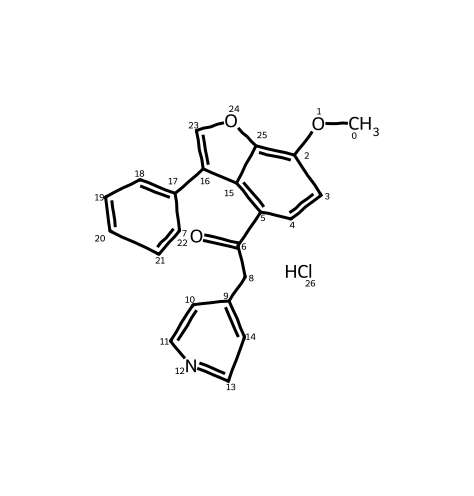 COc1ccc(C(=O)Cc2ccncc2)c2c(-c3ccccc3)coc12.Cl